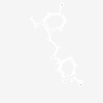 COc1cc(O)ccc1CCCc1ccc(O)cc1